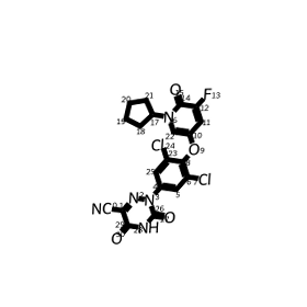 N#Cc1nn(-c2cc(Cl)c(Oc3cc(F)c(=O)n(C4CCCC4)c3)c(Cl)c2)c(=O)[nH]c1=O